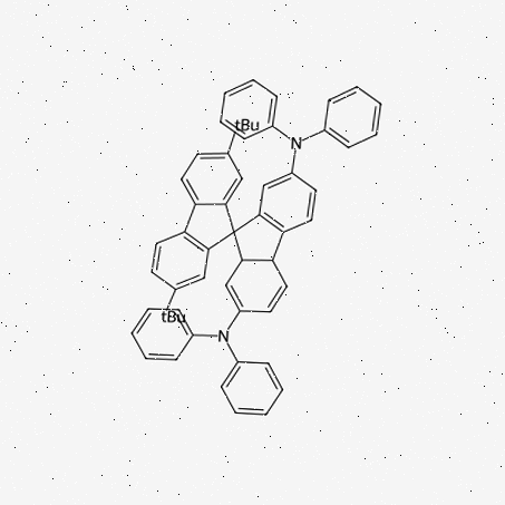 CC(C)(C)c1ccc2c(c1)C1(c3cc(C(C)(C)C)ccc3-2)c2cc(N(c3ccccc3)c3ccccc3)ccc2C2C=CC(N(c3ccccc3)c3ccccc3)=CC21